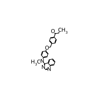 CCC(=O)c1ccc(COc2ccc(N(C)c3ncnc4ccccc34)cc2)cc1